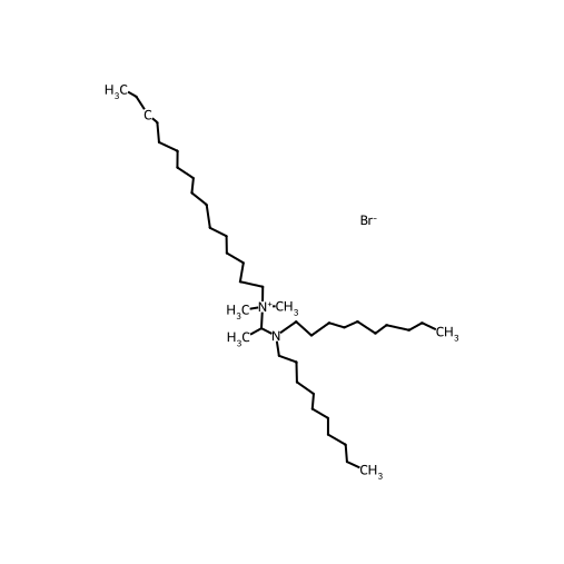 CCCCCCCCCCCCCCCC[N+](C)(C)C(C)N(CCCCCCCCCC)CCCCCCCCCC.[Br-]